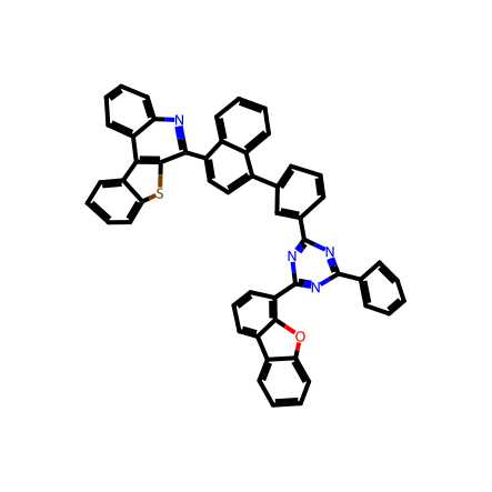 c1ccc(-c2nc(-c3cccc(-c4ccc(-c5nc6ccccc6c6c5sc5ccccc56)c5ccccc45)c3)nc(-c3cccc4c3oc3ccccc34)n2)cc1